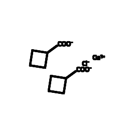 O=C([O-])C1CCC1.O=C([O-])C1CCC1.[Cl-].[Ga+3]